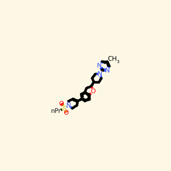 CCCS(=O)(=O)N1CC=C(c2ccc3c(c2)CC(C2CCN(c4ncc(C)cn4)CC2)O3)CC1